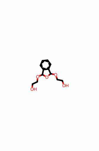 OCCOC1OC(OCCO)c2ccccc21